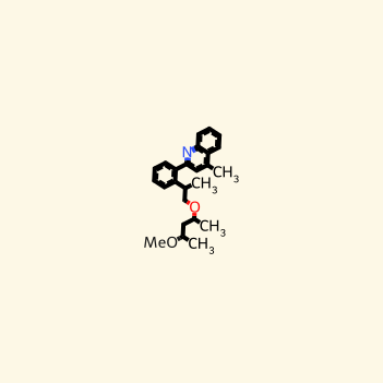 COC(C)CC(C)OCC(C)c1ccccc1-c1cc(C)c2ccccc2n1